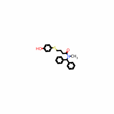 CN(C(=O)CCCSc1ccc(O)cc1)C(c1ccccc1)c1ccccc1